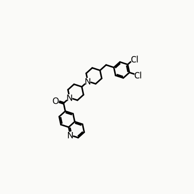 O=C(c1ccc2ncccc2c1)N1CCC(N2CCC(Cc3ccc(Cl)c(Cl)c3)CC2)CC1